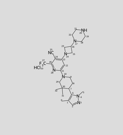 Cc1cnn(C)c1C1CCN(c2cc(N3CC(N4CCNCC4)C3)c(C#N)c(C(F)(F)F)n2)CC1(C)C.Cl